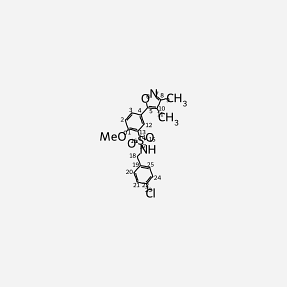 COc1ccc(-c2onc(C)c2C)cc1S(=O)(=O)NCc1ccc(Cl)cc1